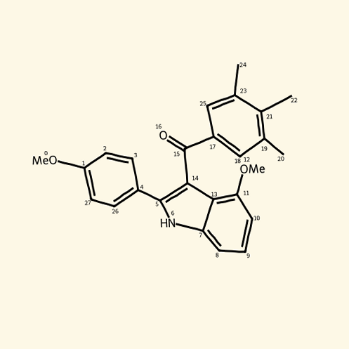 COc1ccc(-c2[nH]c3cccc(OC)c3c2C(=O)c2cc(C)c(C)c(C)c2)cc1